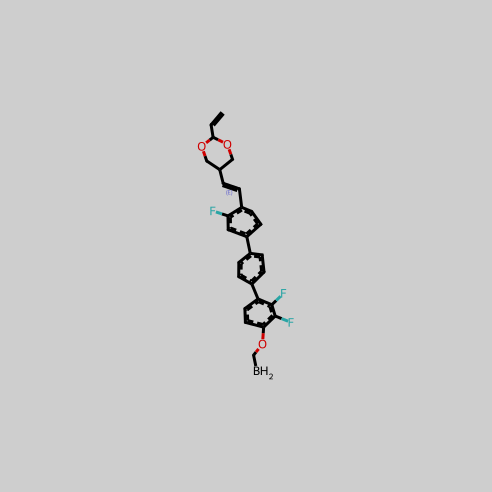 BCOc1ccc(-c2ccc(-c3ccc(/C=C/C4COC(C=C)OC4)c(F)c3)cc2)c(F)c1F